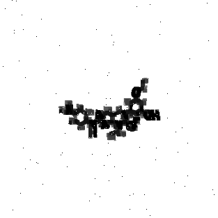 CCOc1cc(O)c(F)c(N2Cc3cnc(NC4CCC(N(C)C)CC4)nc3N(CC)C2=O)c1